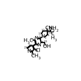 Cc1nc(N2CCC(C)(C(C)N)CC2)c(CO)nc1-c1ccnc(C)c1Cl